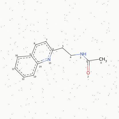 CC(=O)NCCc1ccc2ccccc2n1